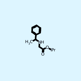 CC(C)OC(=O)CNC(C)c1ccccc1